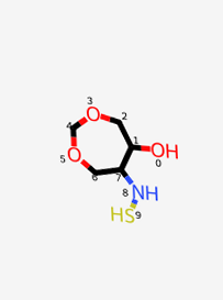 OC1COCOCC1NS